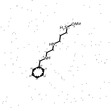 CO[SiH2]CCCNCCNCc1ccccc1